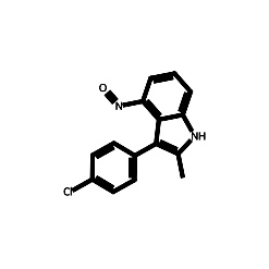 Cc1[nH]c2cccc(N=O)c2c1-c1ccc(Cl)cc1